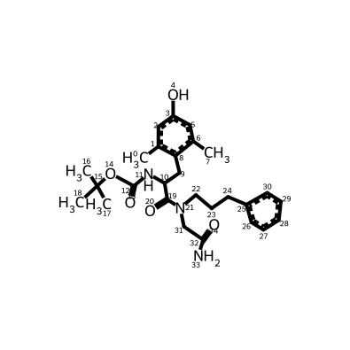 Cc1cc(O)cc(C)c1CC(NC(=O)OC(C)(C)C)C(=O)N(CCCc1ccccc1)CC(N)=O